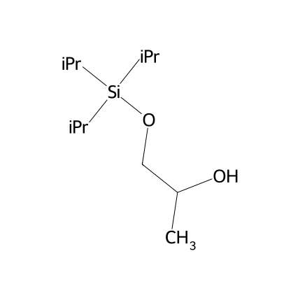 CC(O)CO[Si](C(C)C)(C(C)C)C(C)C